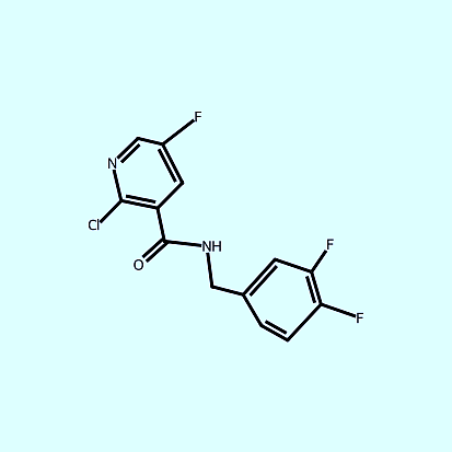 O=C(NCc1ccc(F)c(F)c1)c1cc(F)cnc1Cl